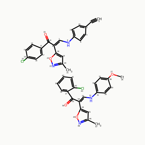 C#Cc1ccc(NC=C(C(=O)c2ccc(Cl)cc2)c2cc(C)no2)cc1.CCOc1ccc(NC=C(C(=O)c2ccccc2Cl)c2cc(C)no2)cc1